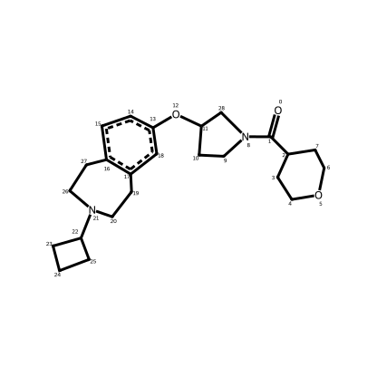 O=C(C1CCOCC1)N1CCC(Oc2ccc3c(c2)CCN(C2CCC2)CC3)C1